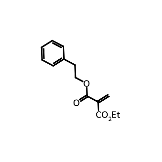 C=C(C(=O)OCC)C(=O)OCCc1ccccc1